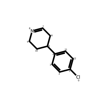 Clc1ccc(C2CC=NCC2)cc1